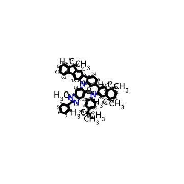 Cn1c(-c2ccccc2)nc2cc3c(cc21)-n1c2cc4c(cc2c2ccc5c(c21)B3N(c1ccc(C(C)(C)C)cc1)c1cc2c(cc1-5)C(C)(C)CCC2(C)C)C(C)(C)c1ccccc1-4